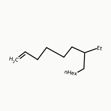 C=CCCCCC(CC)CCCCCCC